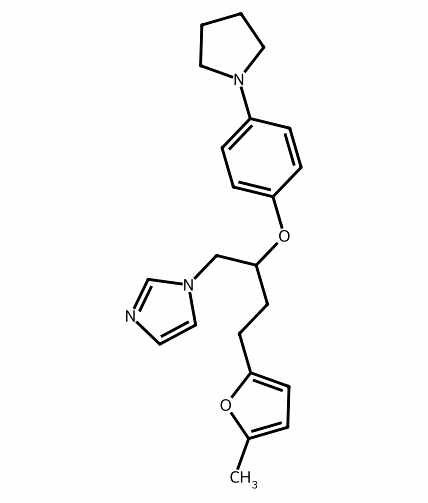 Cc1ccc(CCC(Cn2ccnc2)Oc2ccc(N3CCCC3)cc2)o1